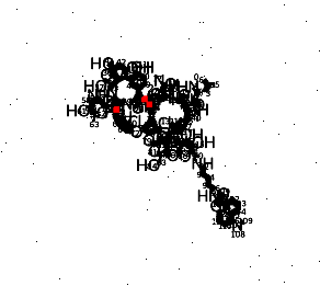 CN[C@H](CC(C)C)C(=O)N[C@H]1C(=O)N[C@@H](CC(N)=O)C(=O)N[C@H]2C(=O)N[C@H]3C(=O)N[C@H](C(=O)N[C@@H](C(=O)O)c4cc(O)cc(O)c4-c4cc3ccc4O)[C@H](OC3C[C@](C)(N)[C@@H](O)[C@H](C)O3)c3ccc(c(Cl)c3)Oc3cc2cc(c3O[C@@H]2O[C@H](CO)[C@@H](O[C@@H]3O[C@H](CNCCCCCNS(=O)(=O)c4cccc5c(N(C)C)cccc45)[C@H](O)[C@H](O)[C@H]3O)[C@H](O)[C@H]2O)Oc2ccc(cc2Cl)[C@H]1O